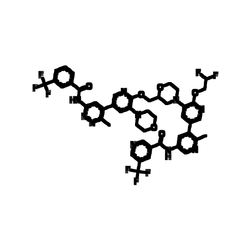 Cc1ncc(NC(=O)c2cncc(C(F)(F)F)c2)cc1-c1cnc(OCC(F)F)c(N2CCOC(COc3ncc(-c4cc(NC(=O)c5cccc(C(F)(F)F)c5)nnc4C)cc3N3CCOCC3)C2)c1